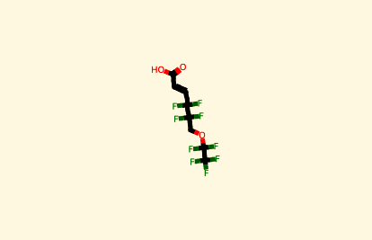 O=C(O)C=CC(F)(F)C(F)(F)COC(F)(F)C(F)(F)F